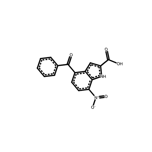 O=C(O)c1cc2c(C(=O)c3ccccc3)ccc([N+](=O)[O-])c2[nH]1